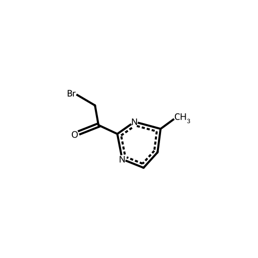 Cc1ccnc(C(=O)CBr)n1